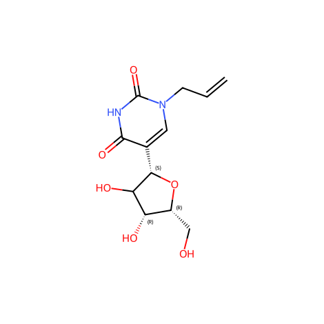 C=CCn1cc([C@@H]2O[C@H](CO)[C@H](O)C2O)c(=O)[nH]c1=O